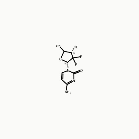 CC(C)C1O[C@@H](n2ccc(N)nc2=O)C(F)(F)[C@H]1O